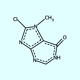 Cn1c(Cl)nc2nc[nH]c(=O)c21